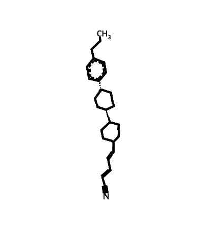 CCCc1ccc([C@H]2CC[C@H](C3CCC(/C=C/C=C/C#N)CC3)CC2)cc1